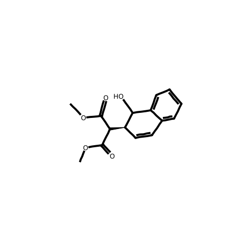 COC(=O)C(C(=O)OC)[C@@H]1C=Cc2ccccc2C1O